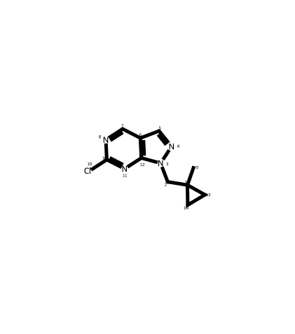 CC1(Cn2ncc3cnc(Cl)nc32)CC1